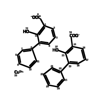 O=C([O-])c1cccc(-c2ccccc2)c1O.O=C([O-])c1cccc(-c2ccccc2)c1O.[Cu+2]